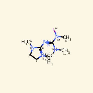 CN1CC[N+](C)=C1/N=C(\N(C)C)N(C)I